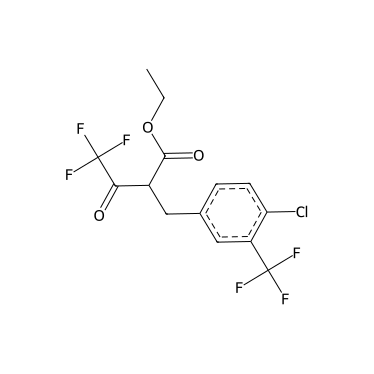 CCOC(=O)C(Cc1ccc(Cl)c(C(F)(F)F)c1)C(=O)C(F)(F)F